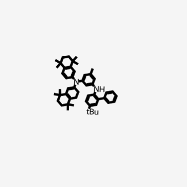 Cc1cc(Nc2ccc(C(C)(C)C)cc2-c2ccccc2)cc(N(C2=CC3=C(CC2)C(C)(C)CCC3(C)C)c2ccc3c(c2)C(C)(C)CCC3(C)C)c1